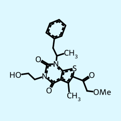 COCC(=O)c1sc2c(c1C)c(=O)n(CCO)c(=O)n2C(C)Cc1ccccc1